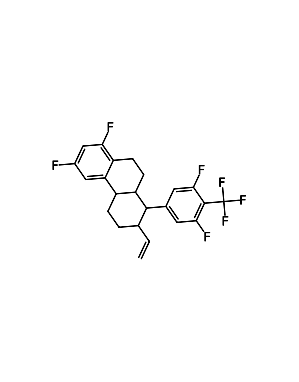 C=CC1CCC2c3cc(F)cc(F)c3CCC2C1c1cc(F)c(C(F)(F)F)c(F)c1